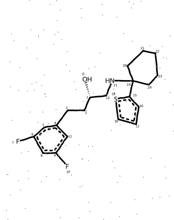 O[C@@H](CCc1cc(F)cc(F)c1)CNC1(c2cccs2)CCCCC1